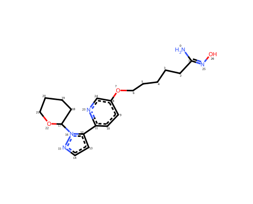 N/C(CCCCCOc1ccc(-c2ccnn2C2CCCCO2)nc1)=N\O